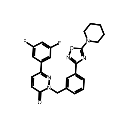 O=c1ccc(-c2cc(F)cc(F)c2)nn1Cc1cccc(-c2noc(N3CCCCC3)n2)c1